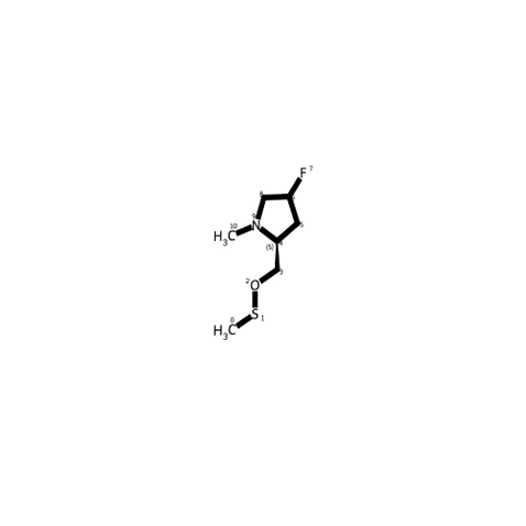 CSOC[C@@H]1CC(F)CN1C